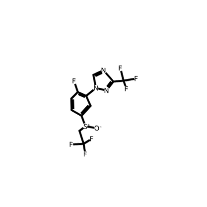 [O-][S+](CC(F)(F)F)c1ccc(F)c(-n2cnc(C(F)(F)F)n2)c1